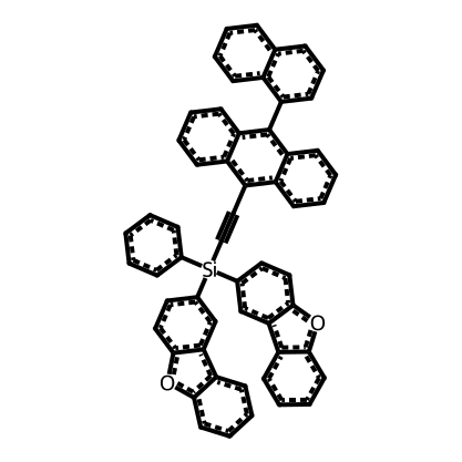 C(#C[Si](c1ccccc1)(c1ccc2oc3ccccc3c2c1)c1ccc2oc3ccccc3c2c1)c1c2ccccc2c(-c2cccc3ccccc23)c2ccccc12